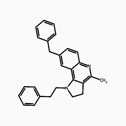 Cc1nc2ccc(Cc3ccccc3)cc2c2c1CCN2CCc1ccccc1